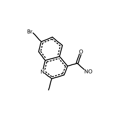 Cc1cc(C(=O)N=O)c2ccc(Br)cc2n1